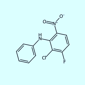 O=[N+]([O-])c1ccc(F)c(Cl)c1Nc1ccccc1